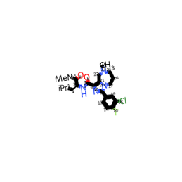 CNC(=O)[C@H](CC(C)C)NC(=O)c1nc(-c2ccc(F)c(Cl)c2)n2c1CN(C)CCC2